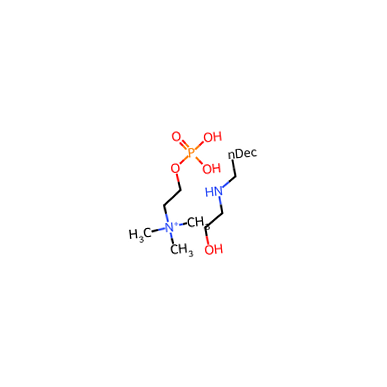 CCCCCCCCCCCNCCO.C[N+](C)(C)CCOP(=O)(O)O